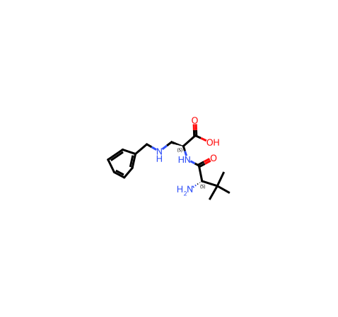 CC(C)(C)[C@H](N)C(=O)N[C@@H](CNCc1ccccc1)C(=O)O